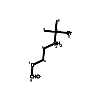 CC(C)C(C)(C)[SiH2]CCO[C]=O